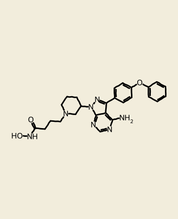 Nc1ncnc2c1c(-c1ccc(Oc3ccccc3)cc1)nn2C1CCCN(CCCC(=O)NO)C1